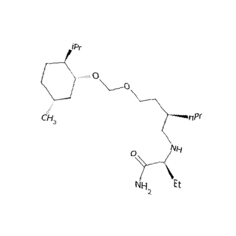 CCC[C@H](CCOCO[C@@H]1C[C@H](C)CC[C@H]1C(C)C)CN[C@@H](CC)C(N)=O